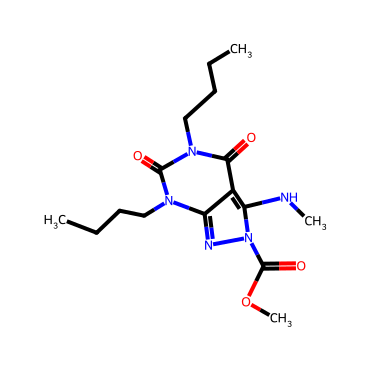 CCCCn1c(=O)c2c(NC)n(C(=O)OC)nc2n(CCCC)c1=O